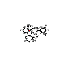 CC(C)[C@H](N)C(=O)N(C(=O)Cc1cc(F)cc(F)c1)[C@@H]1C(=O)NCCS[C@@H]1c1ccccc1